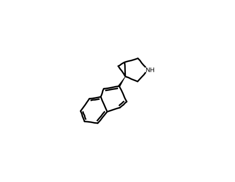 c1ccc2cc([C@]34CNCC3C4)ccc2c1